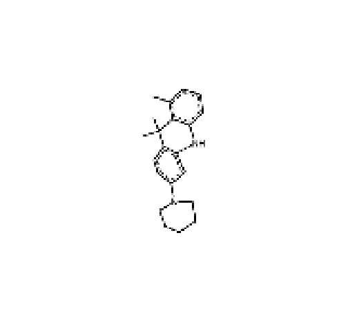 Cc1cccc2c1C(C)(C)c1ccc(N3CCCCC3)cc1N2